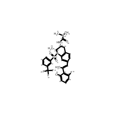 CC(=Cc1ccc2c(c1)N(S(=O)(=O)c1cccc(C(F)(F)F)c1)[C@H](C)[C@H](NC(=O)N(C)C)C2)c1c(F)cccc1Cl